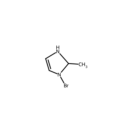 CC1NC=CN1Br